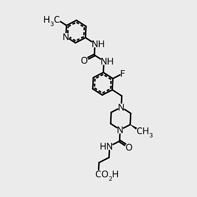 Cc1ccc(NC(=O)Nc2cccc(CN3CCN(C(=O)NCCC(=O)O)[C@H](C)C3)c2F)cn1